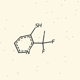 FC(F)(I)c1ncccc1S